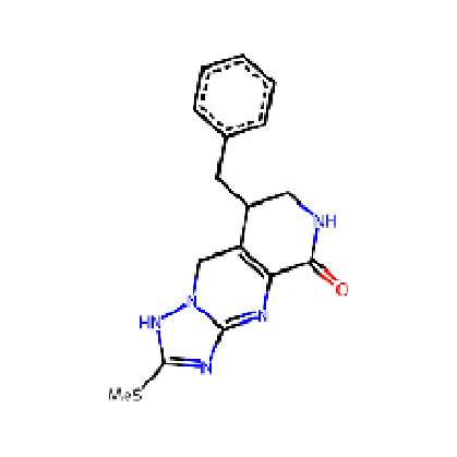 CSC1=NC2=NC3=C(CN2N1)C(Cc1ccccc1)CNC3=O